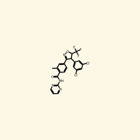 Cc1cc(C2=NOC(C(F)(F)F)C2c2cc(Cl)cc(Cl)c2)ccc1C(=O)Nc1ncccn1